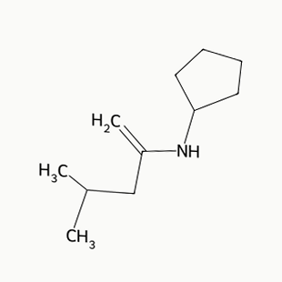 C=C(CC(C)C)NC1CCCC1